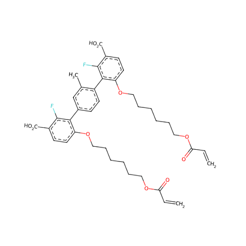 C=CC(=O)OCCCCCCOc1ccc(C(=O)O)c(F)c1-c1ccc(-c2c(OCCCCCCOC(=O)C=C)ccc(C(=O)O)c2F)c(C)c1